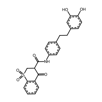 O=C(Nc1ccc(CCc2ccc(O)c(O)c2)cc1)C1CS(=O)(=O)c2ccccc2C1=O